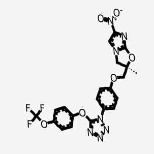 C[C@]1(COc2ccc(-n3nnnc3Oc3ccc(OC(F)(F)F)cc3)cc2)Cn2cc([N+](=O)[O-])nc2O1